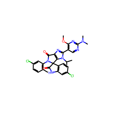 COc1nc(N(C)C)ncc1-c1nc2c(n1C(C)C)C1(C(=O)Nc3cc(Cl)ccc31)N(c1cc(Cl)ccc1C)C2=O